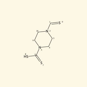 S=CN1CCN(C(=S)S)CC1